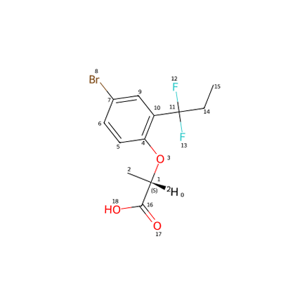 [2H][C@@](C)(Oc1ccc(Br)cc1C(F)(F)CC)C(=O)O